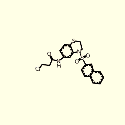 O=C(CCCl)Nc1ccc2c(c1)N(S(=O)(=O)c1ccc3ccccc3c1)CCS2